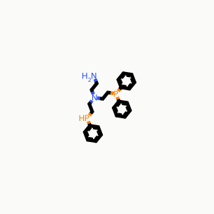 NCCN(CCPc1ccccc1)CCP(c1ccccc1)c1ccccc1